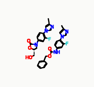 Cc1cn(-c2ccc(N3C[C@H](CO)OC3=O)cc2F)cn1.Cc1cn(-c2ccc(NC(=O)OCc3ccccc3)cc2F)cn1